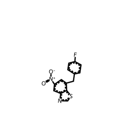 O=[N+]([O-])c1cc(Cc2ccc(F)cc2)c2scnc2c1